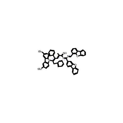 C/C(=C\C(=C(/Cc1ccccc1)n1c2ccc(C(C)(C)C)cc2c2cc(C(C)(C)C)ccc21)c1ccccc1)C(=N)/N=C(\N=C\c1cccc2c1oc1ccccc12)c1ccc2c(c1)oc1ccccc12